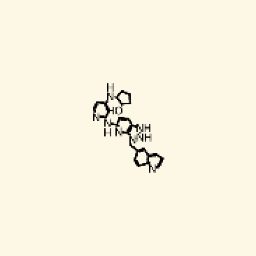 O[C@@H]1CCC[C@H]1Nc1ccnc(Nc2ccc3c(n2)N(Cc2ccc4ncccc4c2)NN3)c1